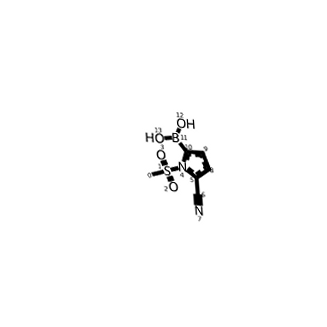 CS(=O)(=O)n1c(C#N)ccc1B(O)O